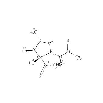 CC(=O)C(O)[C@H]1O[C@@H](C)[C@H](Br)[C@@]1(O)C(C)=O